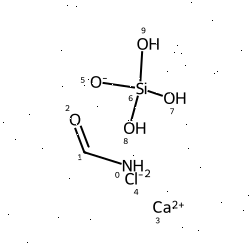 NC=O.[Ca+2].[Cl-].[O-][Si](O)(O)O